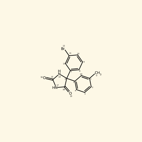 Cc1cccc(C2(c3cccc(Br)c3)NC(=O)NC2=O)c1